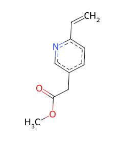 C=Cc1ccc(CC(=O)OC)cn1